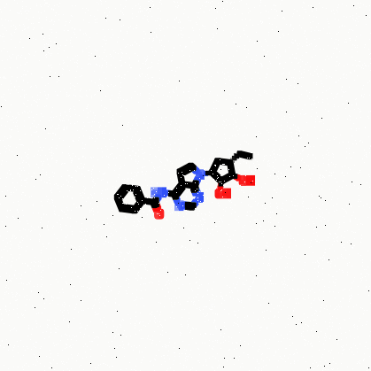 CC[C@H]1C[C@@H](n2ccc3c(NC(=O)c4ccccc4)ncnc32)[C@H](O)[C@@H]1O